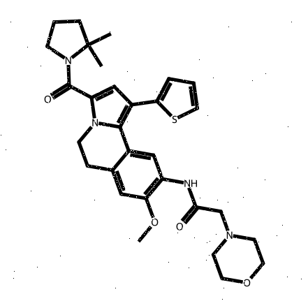 COc1cc2c(cc1NC(=O)CN1CCOCC1)-c1c(-c3cccs3)cc(C(=O)N3CCCC3(C)C)n1CC2